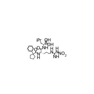 CC(C)C[C@H](NC(=O)[C@H](CCCNC(=N)N[N+](=O)[O-])NC(=O)C1(c2ccccc2)CCCC1)B(O)O